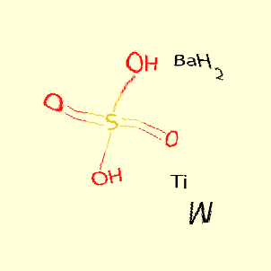 O=S(=O)(O)O.[BaH2].[Ti].[W]